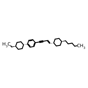 CCCCC[C@H]1CC[C@H](C=CC#Cc2ccc([C@H]3CC[C@H](CC)CC3)cc2)CC1